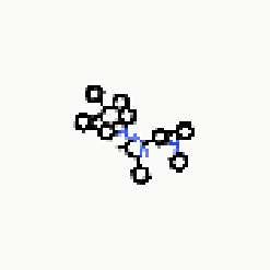 C=C1C=C(c2ccccc2)N=C(c2ccc3c4ccccc4n(-c4ccccc4)c3c2)N=C1n1c2ccc3c4c2c2c5c(cccc5c(-c5ccccc5)c-4c4ccccc43)ccc21